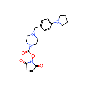 O=C(ON1C(=O)CCC1=O)N1CCN(Cc2ccc(N3CCCC3)cc2)CC1